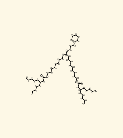 CCCCCC(CCCCC)CC(=O)OCCCCCCCCCC(CCCCCCCCCOC(=O)CC(CCCCC)CCCCC)OCCCN1CCCCC1